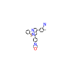 Cc1ccc(-c2ccnc3c2cc(-c2ccc(N4CCOCC4)cc2)n3Sc2ccccc2)cc1C#N